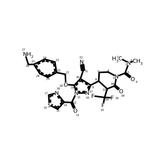 CN(C)C(=O)N1CCC(c2nn(C(=O)c3cscn3)c(OCc3ccc(CN)cc3)c2C#N)C(C(F)(F)F)C1=O